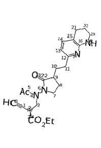 C#C[C@@H](CN(C(C)=O)N1CCC(CCc2ccc3c(n2)NCCC3)C1=O)C(=O)OCC